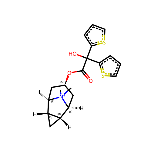 C[N+]1(C)[C@@H]2C[C@@H](OC(=O)C(O)(c3cccs3)c3cccs3)C[C@H]1[C@@H]1C[C@@H]12